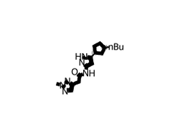 CCCC[C@@H]1CC[C@H](c2cc(NC(=O)Cc3cnn(C)n3)n[nH]2)C1